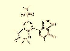 CN1C(=O)C(C)(C)Oc2c(-c3cn(C)c(=O)c4[nH]ccc34)cc(S(=O)(=O)N(C)C)cc21